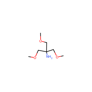 COCC(N)(COC)COC